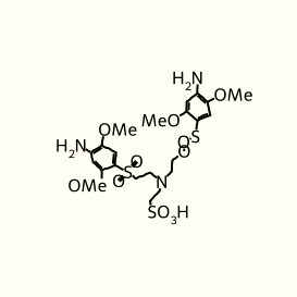 COc1cc(SOOCCN(CCS(=O)(=O)O)CCS(=O)(=O)c2cc(OC)c(N)cc2OC)c(OC)cc1N